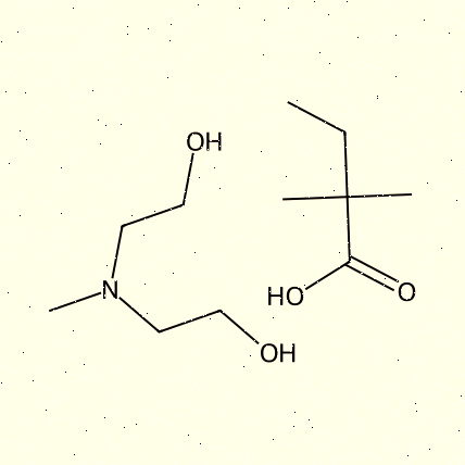 CCC(C)(C)C(=O)O.CN(CCO)CCO